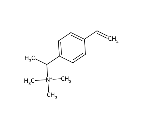 C=Cc1ccc(C(C)[N+](C)(C)C)cc1